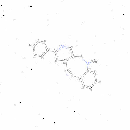 CC(=O)N1Cc2cnc(-c3ccccc3)cc2/C=C\c2ccccc21